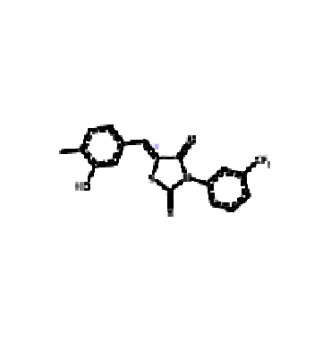 Cc1ccc(/C=C2\SC(=S)N(c3cccc(C(F)(F)F)c3)C2=O)cc1O